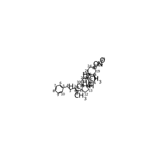 C[C@H](CCCc1ccccc1)C1CC[C@H]2[C@@H]3CC=C4C[C@@H](ON=O)CC[C@]4(C)[C@H]3CC[C@]12C